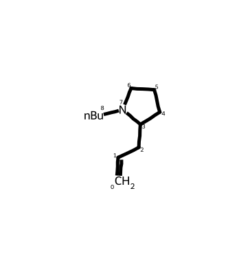 C=CCC1CCCN1CCCC